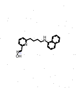 O/N=C/c1cccc(CCCCNc2cccc3ccccc23)n1